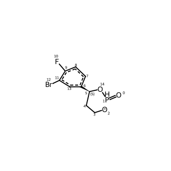 O=[PH]1OCC[C@@H](c2ccc(F)c(Br)c2)O1